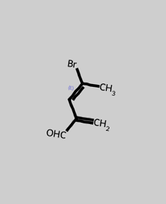 C=C(C=O)/C=C(\C)Br